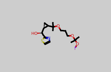 CC(C)(OI)OCCCOC(C)(C)C1C[C@@H]1[C@H](O)c1nccs1